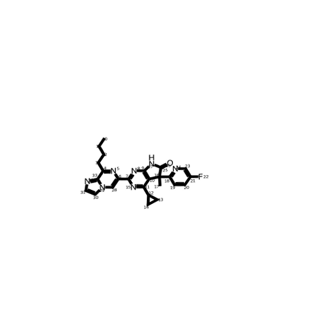 CCCCc1nc(-c2nc3c(c(C4CC4)n2)C(C)(c2ccc(F)cn2)C(=O)N3)cn2ccnc12